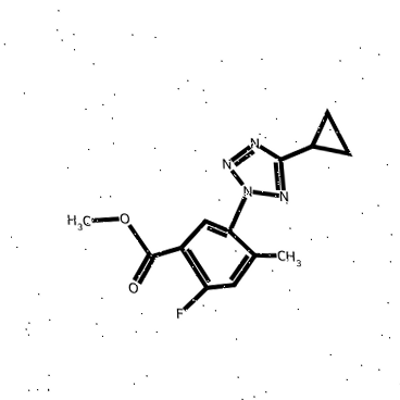 COC(=O)c1cc(-n2nnc(C3CC3)n2)c(C)cc1F